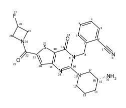 N#Cc1ccccc1Cn1c(N2CCC[C@@H](N)C2)nc2cc(C(=O)N3CC(F)C3)sc2c1=O